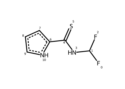 FC(F)NC(=S)c1ccc[nH]1